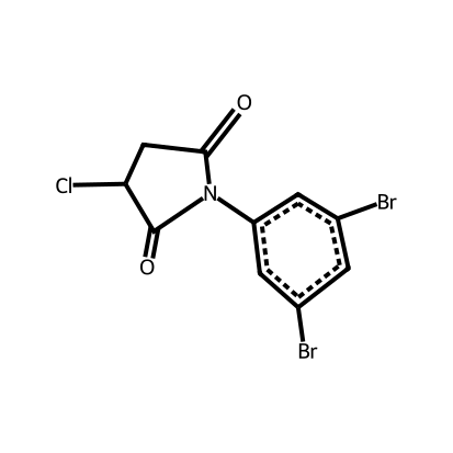 O=C1CC(Cl)C(=O)N1c1cc(Br)cc(Br)c1